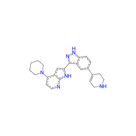 C1=C(c2ccc3[nH]nc(-c4cc5c(N6CCCCC6)ccnc5[nH]4)c3c2)CCNC1